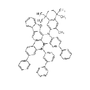 Cc1cc2c(cc1N1c3ccc(-c4ccccc4)cc3B3c4c(cc5c(oc6ccccc65)c41)-c1ccc(-c4ccccc4)cc1N3c1cccc(-c3ccccc3)c1)C(C)(C)CCC2(C)C